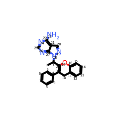 CC(C1=C(c2ccccc2)Cc2ccccc2O1)n1ncc2c(N)ncnc21